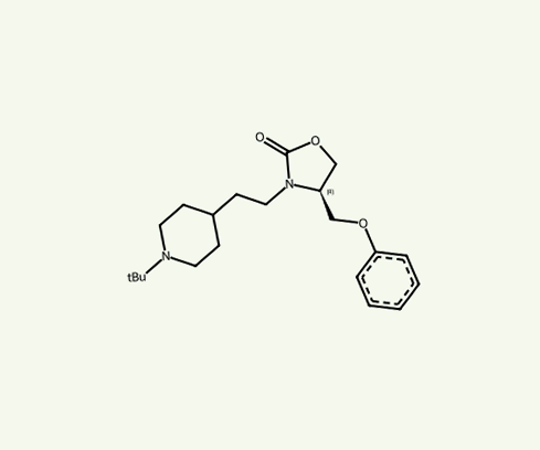 CC(C)(C)N1CCC(CCN2C(=O)OC[C@H]2COc2ccccc2)CC1